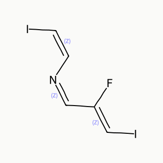 FC(/C=N\C=C/I)=C\I